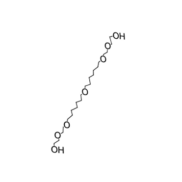 OCCOCCOCCCCCCCOCCCCCCCOCCOCCO